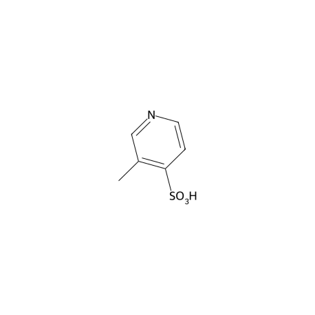 Cc1cnccc1S(=O)(=O)O